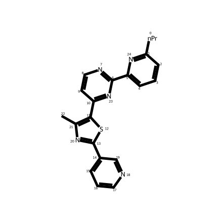 CCCc1cccc(-c2nccc(-c3sc(-c4cccnc4)nc3C)n2)n1